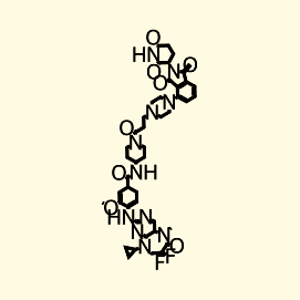 COC1=CC(C(=O)NC2CCN(C(=O)CCN3CCN(c4cccc5c4C(=O)N(C4CCC(=O)NC4=O)C5=O)CC3)CC2)CC=C1NC1=NC2C(C=N1)N(C)C(=O)C(F)(F)CN2C1CC1